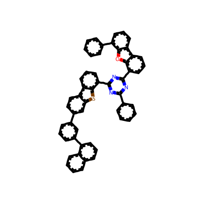 c1ccc(-c2nc(-c3cccc4c3oc3c(-c5ccccc5)cccc34)nc(-c3cccc4c3sc3cc(-c5cccc(-c6cccc7ccccc67)c5)ccc34)n2)cc1